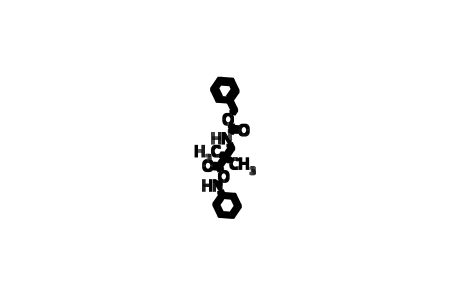 CC(C)(CNC(=O)OCc1ccccc1)C(=O)ONC1CCCCC1